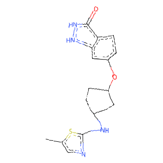 Cc1cnc(NC2CCC(Oc3ccc4c(=O)[nH][nH]c4c3)C2)s1